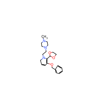 CN1CCN(CCN2CC=CC(OCc3ccccc3)=C2C2OCCO2)CC1